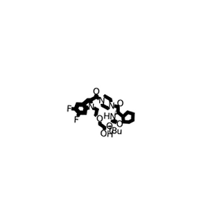 CC(C)(C)OC(=O)N[C@H](C(=O)N1CCN(C(=O)c2cc3cc(F)c(F)cc3n2CCOCCO)CC1)C1CCCCC1